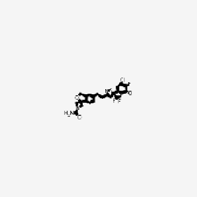 NC(=O)N1CC2(C1)OCc1cc(CCC3=NSC(c4cc(Cl)c(F)c(Cl)c4)(C(F)(F)F)C3)ccc12